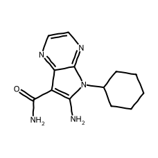 NC(=O)c1c(N)n(C2CCCCC2)c2nccnc12